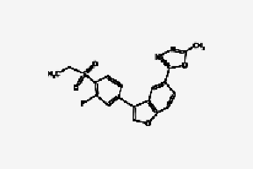 CCS(=O)(=O)c1ccc(-c2coc3ccc(-c4nnc(C)o4)cc23)cc1F